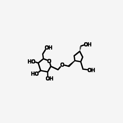 OCC1OC(COC[C@H]2C[C@H](CO)CC2CO)C(O)C(O)C1O